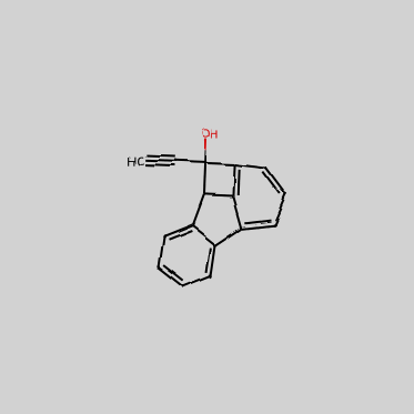 C#CC1(O)c2cccc3c2C1c1ccccc1-3